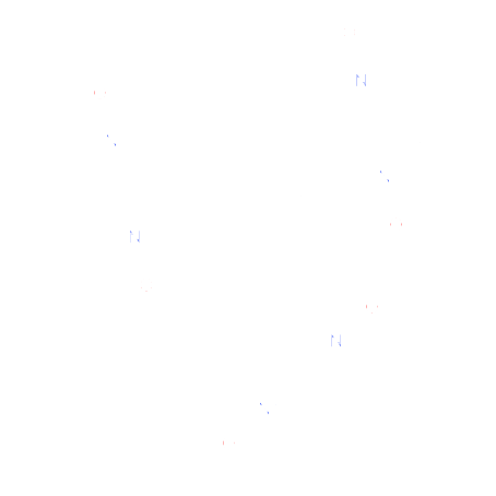 Cc1c(C)[n+]([O-])c(-c2cc(-c3c(C)[n+]([O-])c(C)c(C)[n+]3[O-])cc(-c3c(C)[n+]([O-])c(C)c(C)[n+]3[O-])c2)c(C)[n+]1[O-]